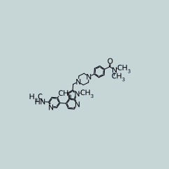 CNc1cc(C)c(-c2ccnc3c2cc(CN2CCN(c4ccc(C(=O)N(C)C)cc4)CC2)n3C)cn1